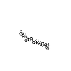 COC(=O)[C@H]1[C@@H]2CN(Cc3cc(Cl)c(O[C@H]4CCc5c(-c6cccc(-c7ccc(CNC[C@@H]8CCC(=O)N8)c(OC)n7)c6Cl)cccc54)nc3OC)C[C@@H]21